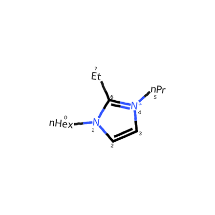 CCCCCCn1cc[n+](CCC)c1CC